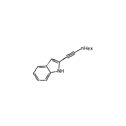 CCCCCCC#Cc1cc2ccccc2[nH]1